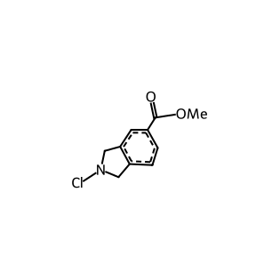 COC(=O)c1ccc2c(c1)CN(Cl)C2